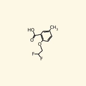 Cc1ccc(OCC(F)F)c(C(=O)O)c1